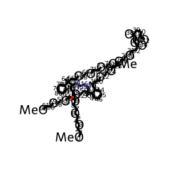 COCCOCCOCCOCC[N+]1=C(/C=C/C=C2/N(CCOCCOCCOCCOCCC(=O)ON3C(=O)CCC3=O)c3ccccc3C2(C)CCOCCOCCOCCOC)C(C)(CCOCCOCCOCCOC)c2ccccc21